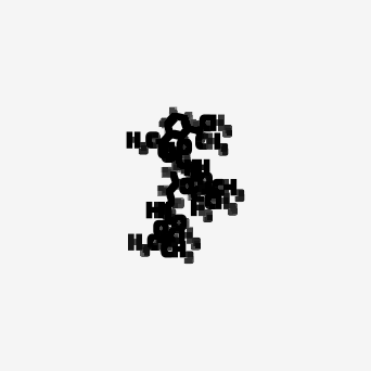 CC(C)c1cccc(C(C)C)c1OC(=O)[C@@H](CCCCNC(=O)OC(C)(C)C)NC(=O)OC(C)(C)C